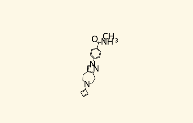 CNC(=O)c1ccc(-n2cc3c(n2)CCN(C2=CC=C2)CC3)cc1